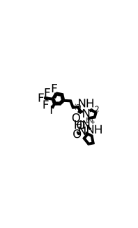 N[C@@H](CCc1cc(F)c(C(F)(F)F)c(I)c1)C(=O)N1CCC[C@H]1[NH+]([O-])NC1(N=O)CCCC1